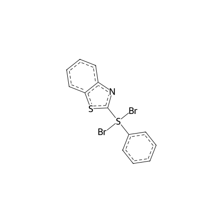 BrS(Br)(c1ccccc1)c1nc2ccccc2s1